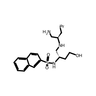 CC(C)C[C@H](CN)NC[C@H](CCO)NS(=O)(=O)c1ccc2ccccc2c1